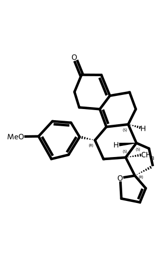 COc1ccc([C@H]2C[C@@]3(C)[C@@H](CC[C@@]34C=CCO4)[C@@H]3CCC4=CC(=O)CCC4=C32)cc1